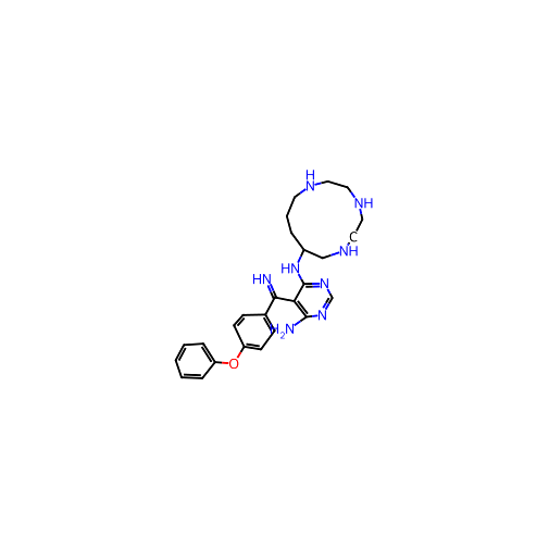 N=C(c1ccc(Oc2ccccc2)cc1)c1c(N)ncnc1NC1CCCNCCNCCNC1